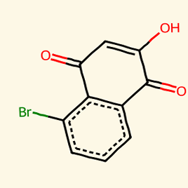 O=C1C(O)=CC(=O)c2c(Br)cccc21